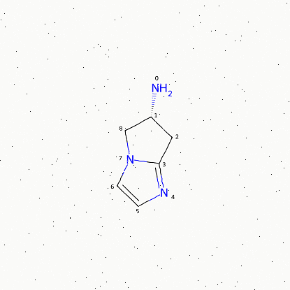 N[C@@H]1Cc2nccn2C1